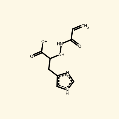 C=CC(=O)NNC(Cc1c[nH]cn1)C(=O)O